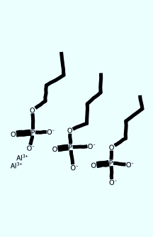 CCCCOP(=O)([O-])[O-].CCCCOP(=O)([O-])[O-].CCCCOP(=O)([O-])[O-].[Al+3].[Al+3]